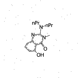 CCCN(CCC)c1nc2cccc(O)c2c(=O)n1C